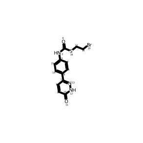 O=C(Nc1ccc(-c2ccc(=O)[nH]n2)cc1)SCCBr